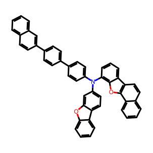 c1ccc2cc(-c3ccc(-c4ccc(N(c5ccc6c(c5)oc5ccccc56)c5cccc6c5oc5c7ccccc7ccc65)cc4)cc3)ccc2c1